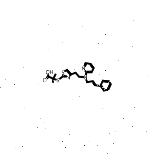 CC(C)(Sc1nc(CCN(C/C=C/c2ccccc2)c2ccccn2)cs1)C(=O)O